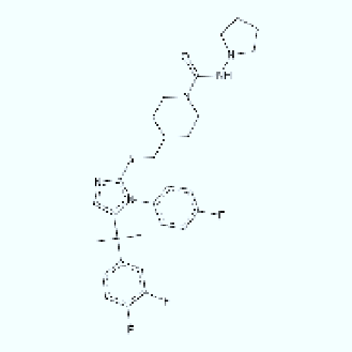 CC(C)(c1ccc(F)c(F)c1)c1cnc(SCC2CCN(C(=O)NN3CCCC3)CC2)n1-c1ccc(F)cc1